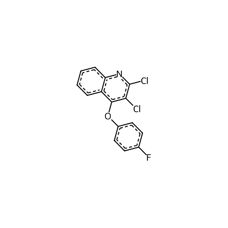 Fc1ccc(Oc2c(Cl)c(Cl)nc3ccccc23)cc1